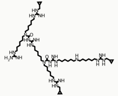 N=C(N)NCCCCCCN(CCCCCCNC(=N)NCC1CC1)C(=O)NC(=N)NCCCCCCN(CCCCCCNC(=N)NCC1CC1)C(=O)NC(=N)NCCCCCCNCCCCCCNC(=N)NCC1CC1